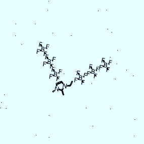 CCN1C=CN(C)C1C.F[B-](F)(F)F.F[B-](F)(F)F.F[B-](F)(F)F.F[B-](F)(F)F.F[B-](F)(F)F.F[B-](F)(F)F